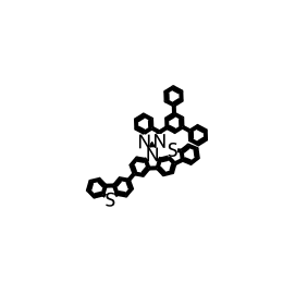 c1ccc(-c2cc(-c3ccccc3)cc(-c3nc(-n4c5ccc(-c6ccc7sc8ccccc8c7c6)cc5c5ccc6c7ccccc7sc6c54)nc4ccccc34)c2)cc1